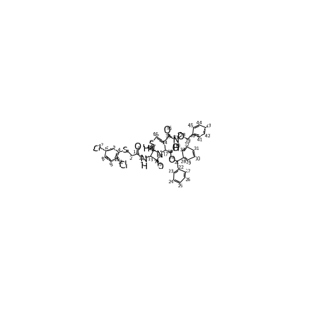 O=C(CSc1cc(Cl)ccc1Cl)NC1C(=O)N2C(C(=O)OC(c3ccccc3)c3ccccc3)C(C(=O)NOCc3ccccc3)=CS[C@@H]12